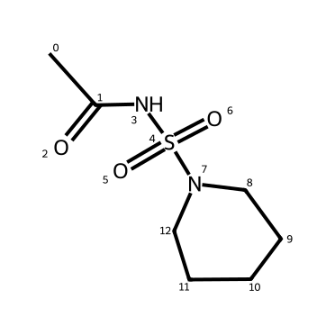 CC(=O)NS(=O)(=O)N1CCCCC1